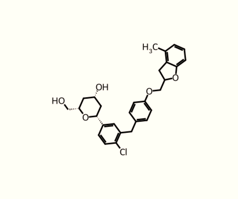 Cc1cccc2c1CC(COc1ccc(Cc3cc([C@H]4C[C@@H](O)C[C@@H](CO)O4)ccc3Cl)cc1)O2